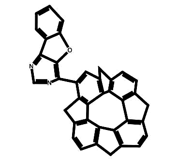 c1ccc2c(c1)oc1c(-c3cc4c5c6c3Cc3ccc7c(c3-6)-c3c(ccc6c3-c3c(ccc(c3-5)C4)C6)C7)ncnc12